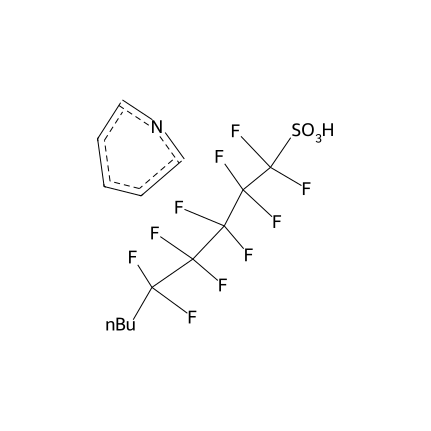 CCCCC(F)(F)C(F)(F)C(F)(F)C(F)(F)C(F)(F)S(=O)(=O)O.c1ccncc1